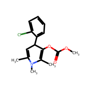 COC(=O)OC1=C(C)N(C)C(C)=CC1c1ccccc1Cl